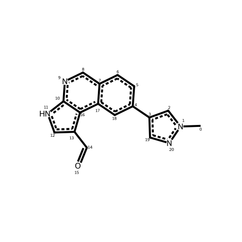 Cn1cc(-c2ccc3cnc4[nH]cc(C=O)c4c3c2)cn1